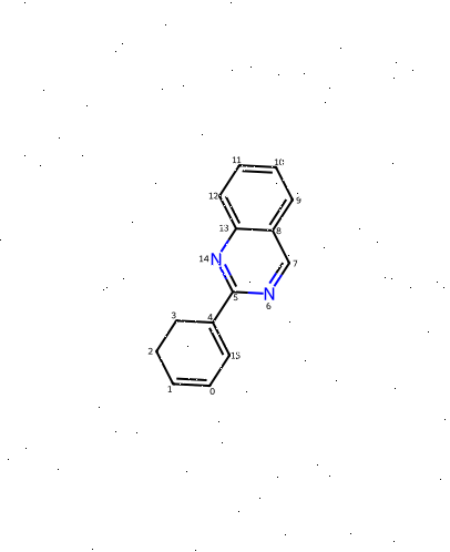 C1=CCCC(c2ncc3ccccc3n2)=C1